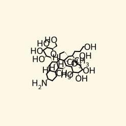 C[C@H](CCCO)[C@H]1CC[C@H]2[C@@H]3[C@@H](C4O[C@H](CO)[C@@H](O)[C@H](O)[C@H]4O)C[C@@H]4C[C@@H](N)CC[C@]4(C)[C@H]3C[C@@H]([C@@H]3O[C@H](CO)[C@@H](O)[C@H](O)[C@H]3O)[C@]12C